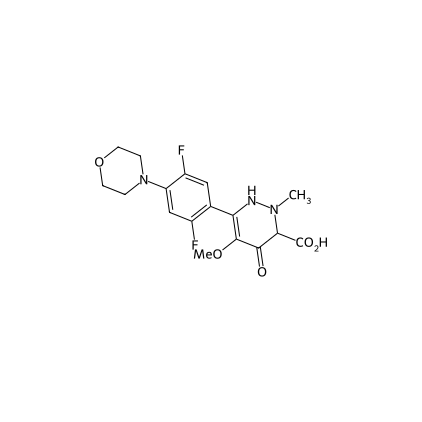 COC1=C(c2cc(F)c(N3CCOCC3)cc2F)NN(C)C(C(=O)O)C1=O